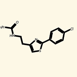 CCCC(=O)NCCc1csc(-c2ccc(Cl)cc2)n1